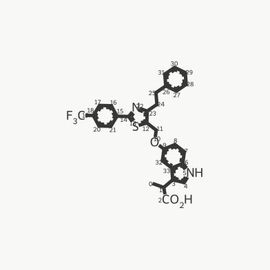 CC(C(=O)O)c1c[nH]c2ccc(OCc3sc(-c4ccc(C(F)(F)F)cc4)nc3CCc3ccccc3)cc12